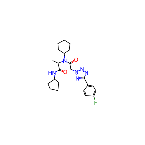 CC(C(=O)NC1CCCC1)N(C(=O)Cn1nnc(-c2ccc(F)cc2)n1)C1CCCCC1